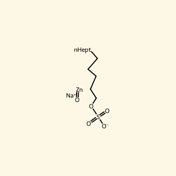 CCCCCCCCCCCCOS(=O)(=O)[O-].[Na+].[O]=[Zn]